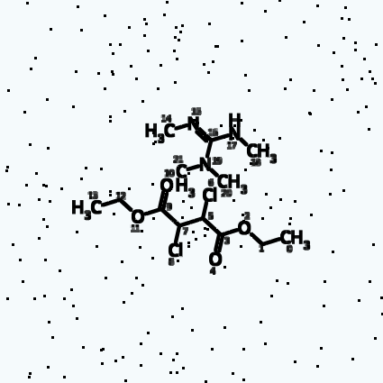 CCOC(=O)C(Cl)C(Cl)C(=O)OCC.CN=C(NC)N(C)C